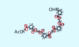 CC(=O)OCCOC(=O)c1cccc(C(=O)OCCOC(=O)c2cccc(C(=O)OCCOC(=O)c3cccc(C(=O)OCCOC(=O)c4cccc(C=O)c4)c3)c2)c1